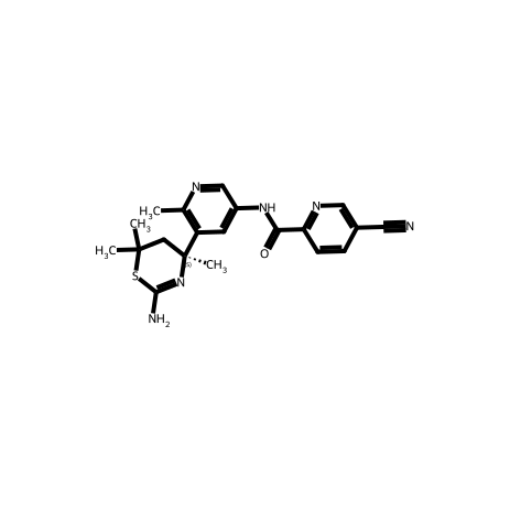 Cc1ncc(NC(=O)c2ccc(C#N)cn2)cc1[C@]1(C)CC(C)(C)SC(N)=N1